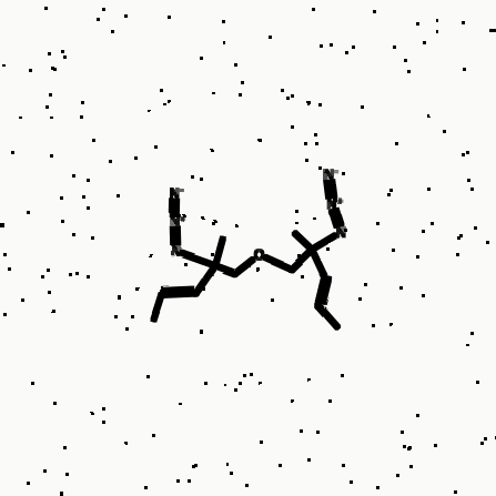 CC=CC(C)(COCC(C)(C=CC)N=[N+]=[N-])N=[N+]=[N-]